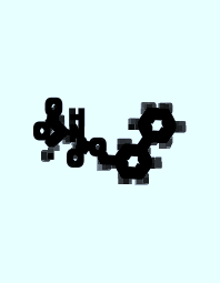 C[C@@H]1OC(=O)[C@@H]1NC(=O)OCc1cccc(-c2ccccc2)c1